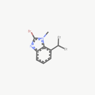 CCC(CC)c1cccc2nc(Br)n(C)c12